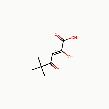 CC(C)(C)C(=O)/C=C(\O)C(=O)O